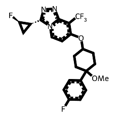 COC1(c2ccc(F)cc2)CCC(Oc2ccn3c([C@@H]4C[C@H]4F)nnc3c2C(F)(F)F)CC1